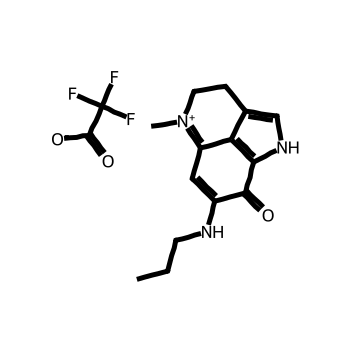 CCCNC1=CC2=[N+](C)CCc3c[nH]c(c32)C1=O.O=C([O-])C(F)(F)F